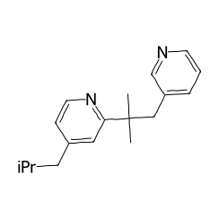 CC(C)Cc1ccnc(C(C)(C)Cc2cccnc2)c1